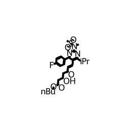 CCCCOC(=O)C[C@H](O)CC(=O)C=Cc1c(-c2ccc(F)cc2)nc(N(C)S(C)(=O)=O)nc1C(C)C